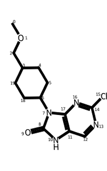 COCC1CCC(n2c(=O)[nH]c3cnc(Cl)nc32)CC1